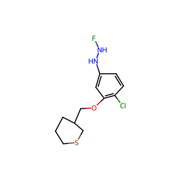 FNNc1ccc(Cl)c(OCC2CCCSC2)c1